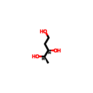 C[C@@H](O)[C@H](O)CCO